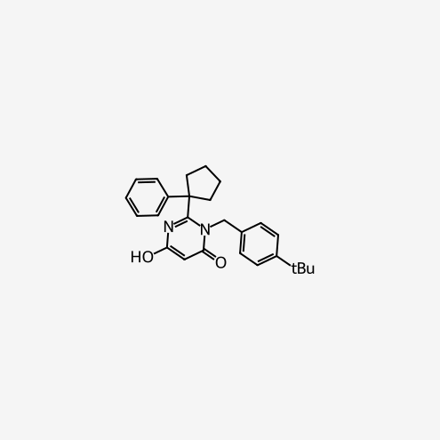 CC(C)(C)c1ccc(Cn2c(C3(c4ccccc4)CCCC3)nc(O)cc2=O)cc1